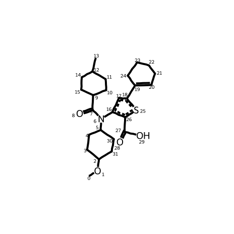 COC1CCC(N(C(=O)C2CCC(C)CC2)c2cc(C3=CCCCC3)sc2C(=O)O)CC1